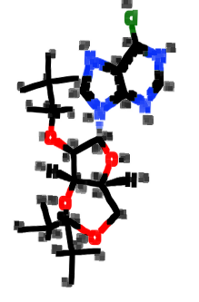 CC(C)(C)[Si](C)(C)O[C@@H]1[C@H]2O[Si](C(C)(C)C)(C(C)(C)C)OC[C@H]2O[C@H]1n1cnc2c(Cl)ncnc21